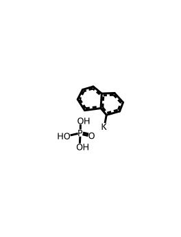 O=P(O)(O)O.[K][c]1cccc2ccccc12